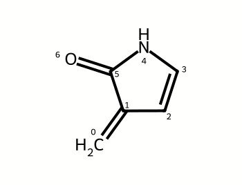 C=C1C=CNC1=O